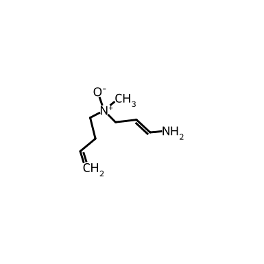 C=CCC[N+](C)([O-])CC=CN